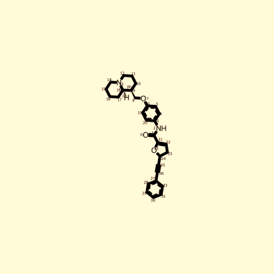 O=C(Nc1ccc(OC[C@@H]2CCCN3CCCC[C@H]23)cc1)C1=CCC(C#Cc2ccccc2)O1